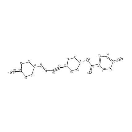 CCCc1ccc(C(=O)O[C@H]2CC[C@H](C#C/C=C/[C@H]3CC[C@H](CCC)CC3)CC2)cc1